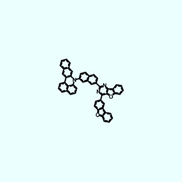 c1ccc2cc3c(cc2c1)-c1cccc2cccc(c12)N3c1ccc2ccc(-c3nc(-c4ccc5oc6ccccc6c5c4)c4oc5ccccc5c4n3)cc2c1